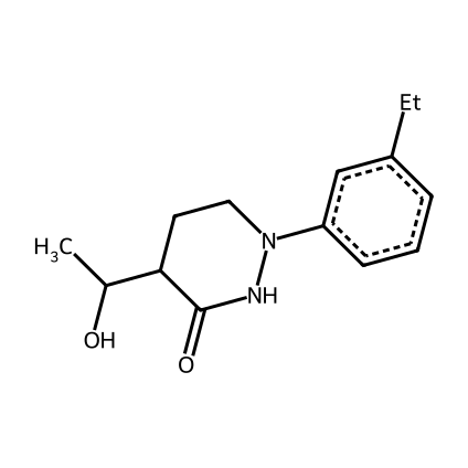 CCc1cccc(N2CCC(C(C)O)C(=O)N2)c1